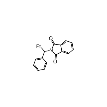 [CH2]CC(c1ccccc1)N1C(=O)c2ccccc2C1=O